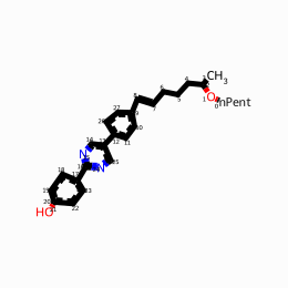 CCCCCOC(C)CCC/C=C/c1ccc(-c2cnc(-c3ccc(O)cc3)nc2)cc1